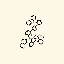 CC1(C)C2=C(C=CCC2)C2=CC=C(N(C3=C(c4ccccc4)C4CC=CC=C4C=C3)c3cccc(-c4ccc5c(c4)C(c4ccccc4)(c4ccccc4)c4ccccc4-5)c3)CC21